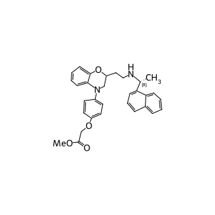 COC(=O)COc1ccc(N2CC(CCN[C@H](C)c3cccc4ccccc34)Oc3ccccc32)cc1